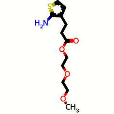 COCCOCCOC(=O)CCc1ccsc1N